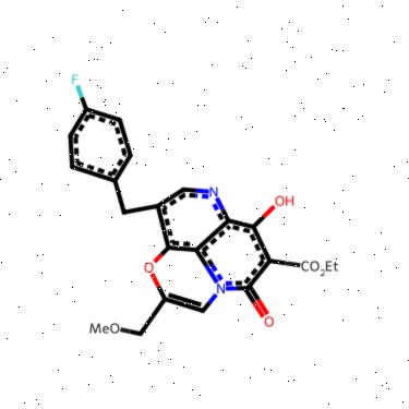 CCOC(=O)c1c(O)c2ncc(Cc3ccc(F)cc3)c3c2n(c1=O)C=C(COC)O3